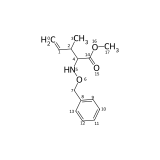 C=CC(C)C(NOCc1ccccc1)C(=O)OC